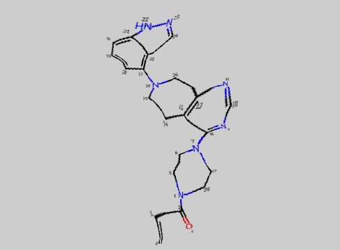 C=CC(=O)N1CCN(c2ncnc3c2CCN(c2cccc4[nH]ncc24)C3)CC1